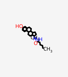 CCCCCC(=O)N/N=C1\CCC2C3CCc4cc(O)ccc4C3CCC12C